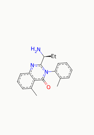 CC[C@H](N)c1nc2cccc(C)c2c(=O)n1-c1ccccc1C